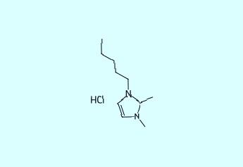 CCCCCN1C=CN(C)C1C.Cl